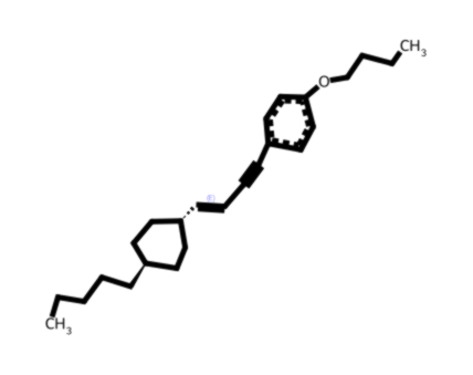 CCCCC[C@H]1CC[C@H](/C=C/C#Cc2ccc(OCCCC)cc2)CC1